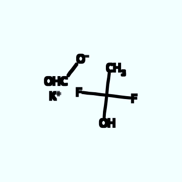 CC(O)(F)F.O=C[O-].[K+]